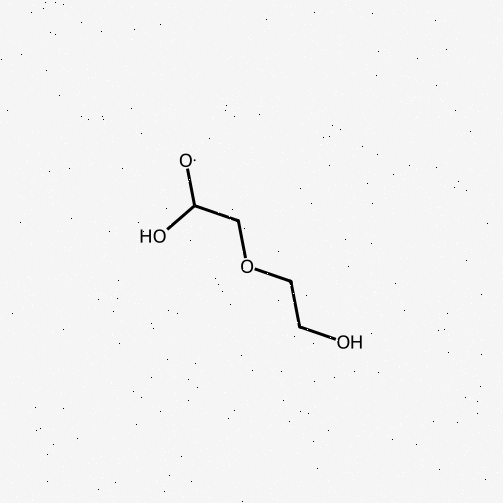 [O]C(O)COCCO